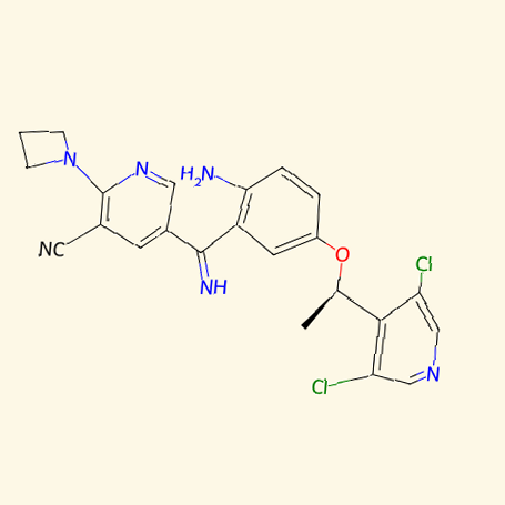 C[C@@H](Oc1ccc(N)c(C(=N)c2cnc(N3CCC3)c(C#N)c2)c1)c1c(Cl)cncc1Cl